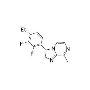 CCc1ccc(C2CN=C3C(C)=NC=CN32)c(F)c1F